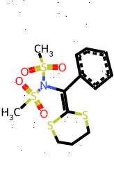 CS(=O)(=O)N(C(=C1SCCCS1)c1ccccc1)S(C)(=O)=O